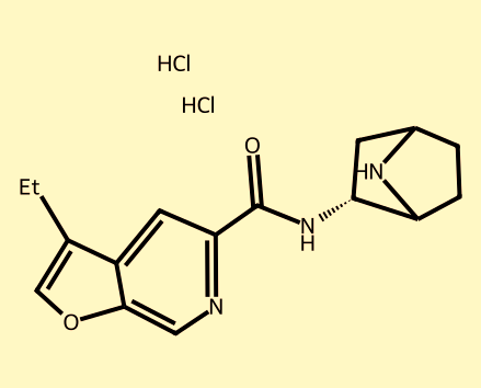 CCc1coc2cnc(C(=O)N[C@@H]3CC4CCC3N4)cc12.Cl.Cl